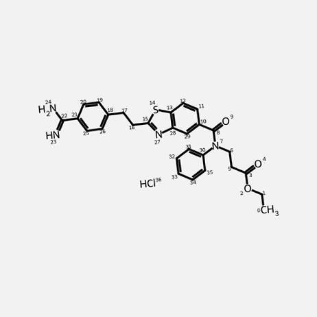 CCOC(=O)CCN(C(=O)c1ccc2sc(CCc3ccc(C(=N)N)cc3)nc2c1)c1ccccc1.Cl